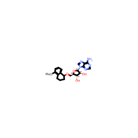 COc1cccc2c1CCCC2OC[C@H]1O[C@@H](n2cnc3c(N)ncnc32)[C@H](O)[C@@H]1O